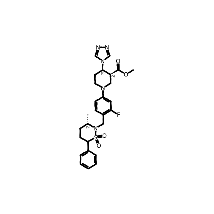 COC(=O)[C@H]1CN(c2ccc(CN3[C@@H](C)CCC(c4ccccc4)S3(=O)=O)c(F)c2)CC[C@H]1n1cnnc1